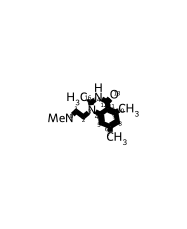 CNCCN1c2cc(C)cc(C)c2C(=O)N[C@@H]1C